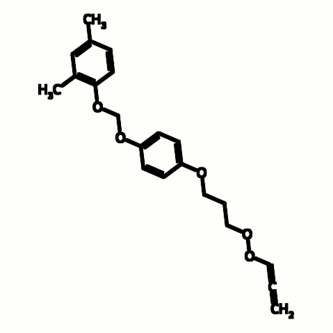 C=C=COOCCCOc1ccc(OCOc2ccc(C)cc2C)cc1